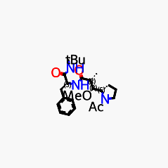 CO[C@H]([C@@H](C)C(=O)N[C@@H](Cc1ccccc1)C(=O)NC(C)(C)C)[C@@H]1CCCN1C(C)=O